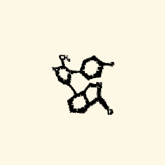 Cc1ncc(-c2cccc3c2C=NC3=O)n1-c1ccc(F)cc1